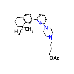 CC(=O)OCCCCN1CCN(c2cccc(-c3ccc4c(c3)C(C)(C)CCC4)n2)CC1